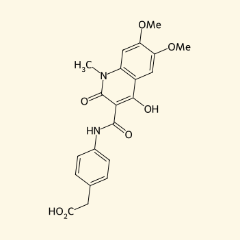 COc1cc2c(O)c(C(=O)Nc3ccc(CC(=O)O)cc3)c(=O)n(C)c2cc1OC